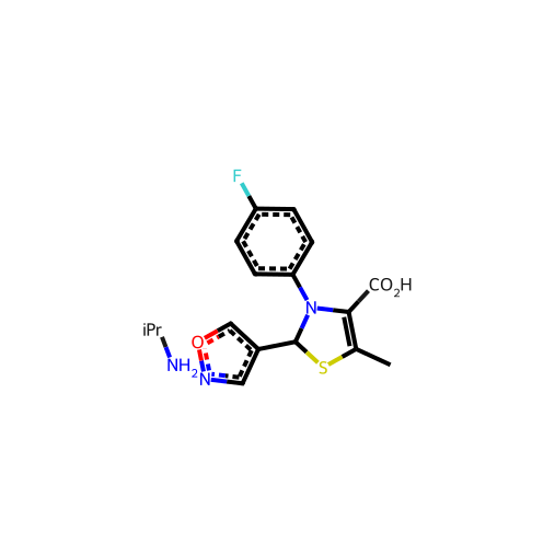 CC(C)N.CC1=C(C(=O)O)N(c2ccc(F)cc2)C(c2cnoc2)S1